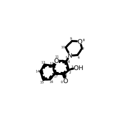 O=c1c(O)c(N2CCOCC2)oc2ccccc12